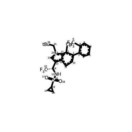 Cc1c(-c2ccccc2C(F)(F)F)ccc2c([C@H](NS(=O)(=O)C3CC3)C(F)(F)F)cn(CC(C)(C)C)c12